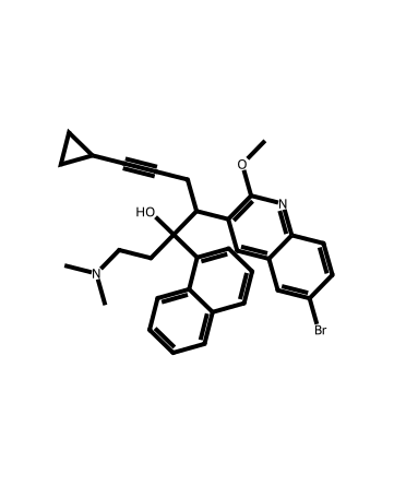 COc1nc2ccc(Br)cc2cc1C(CC#CC1CC1)C(O)(CCN(C)C)c1cccc2ccccc12